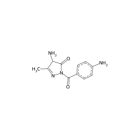 CC1=NN(C(=O)c2ccc(N)cc2)C(=O)C1N